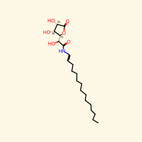 CCCCCCCCCCCCCC=CNC(=O)C(O)[C@H]1OC(=O)[C@@H](O)[C@H]1O